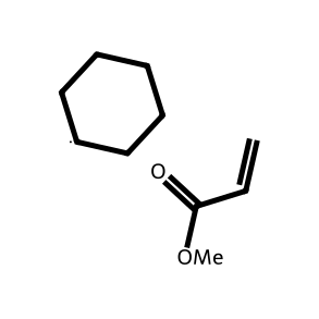 C=CC(=O)OC.[CH]1CCCCC1